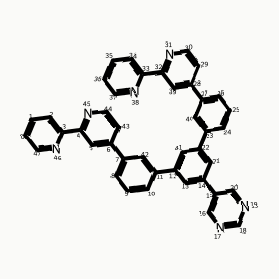 c1ccc(-c2cc(-c3cccc(-c4cc(-c5cncnc5)cc(-c5cccc(-c6ccnc(-c7ccccn7)c6)c5)c4)c3)ccn2)nc1